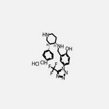 Cl.Cl.Oc1ccc(-n2nnnc2C(F)(F)F)cc1CN[C@H]1CCNC[C@H]1c1ccccc1